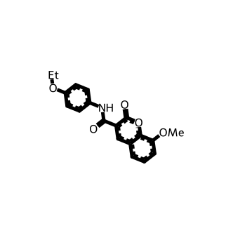 CCOc1ccc(NC(=O)c2cc3cccc(OC)c3oc2=O)cc1